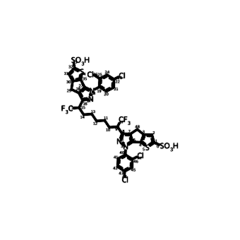 O=S(=O)(O)c1cc2c(s1)-c1c(c(C(CCCCCC(c3nn(-c4ccc(Cl)cc4Cl)c4c3Cc3cc(S(=O)(=O)O)sc3-4)C(F)(F)F)C(F)(F)F)nn1-c1ccc(Cl)cc1Cl)C2